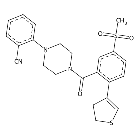 CS(=O)(=O)c1ccc(C2=CSCC2)c(C(=O)N2CCN(c3ccccc3C#N)CC2)c1